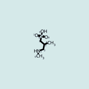 CNCC(C)CS(=O)(=O)O